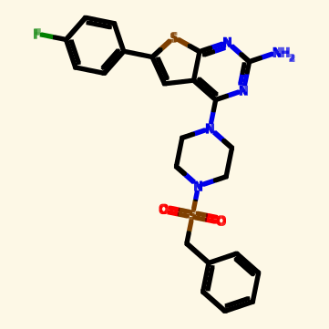 Nc1nc(N2CCN(S(=O)(=O)Cc3ccccc3)CC2)c2cc(-c3ccc(F)cc3)sc2n1